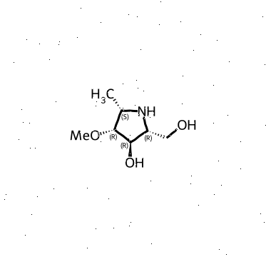 CO[C@H]1[C@H](O)[C@@H](CO)N[C@H]1C